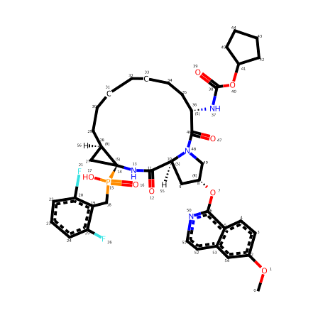 COc1ccc2c(O[C@@H]3C[C@H]4C(=O)N[C@]5(P(=O)(O)Cc6c(F)cccc6F)C[C@H]5CCCCCCC[C@H](NC(=O)OC5CCCC5)C(=O)N4C3)nccc2c1